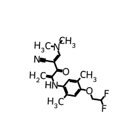 C=C(Nc1cc(C)c(OCC(F)F)cc1C)C(=O)/C(C#N)=C/N(C)C